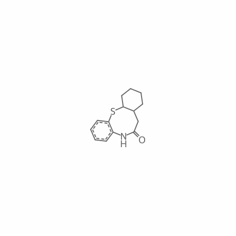 O=C1CC2CCCCC2Sc2ccccc2N1